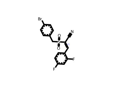 N#C/C(=C/c1ccc(F)cc1F)S(=O)(=O)Cc1ccc(Br)cc1